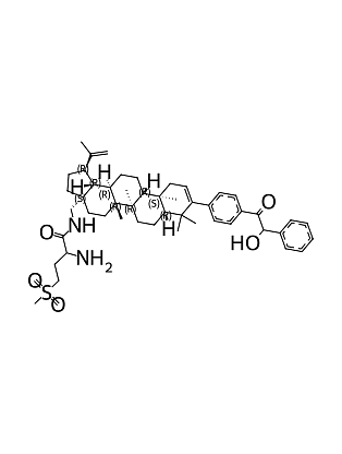 C=C(C)[C@@H]1CC[C@]2(CNC(=O)C(N)CCS(C)(=O)=O)CC[C@]3(C)[C@H](CC[C@@H]4[C@@]5(C)CC=C(c6ccc(C(=O)C(O)c7ccccc7)cc6)C(C)(C)[C@@H]5CC[C@]43C)[C@@H]12